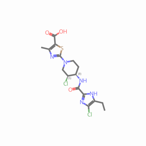 CCc1[nH]c(C(=O)N[C@@H]2CCN(c3nc(C)c(C(=O)O)s3)C[C@@H]2Cl)nc1Cl